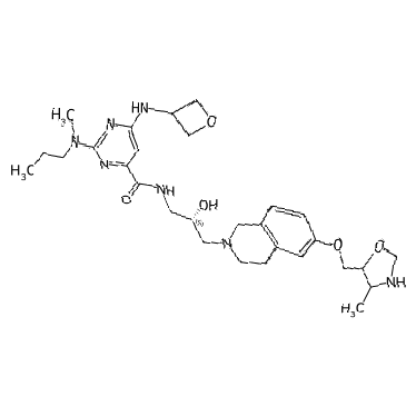 CCCN(C)c1nc(NC2COC2)cc(C(=O)NC[C@H](O)CN2CCc3cc(OCC4OCNC4C)ccc3C2)n1